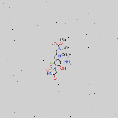 CC(C)CN(C[C@@H]1Cc2c(cc(O)c(N3CC(=O)NS3(=O)=O)c2F)N1C(=O)O)C(=O)OC(C)(C)C.N